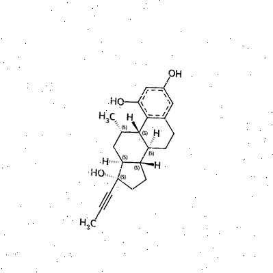 CC#C[C@]1(O)CC[C@H]2[C@@H]3CCc4cc(O)cc(O)c4[C@H]3[C@@H](C)C[C@@H]21